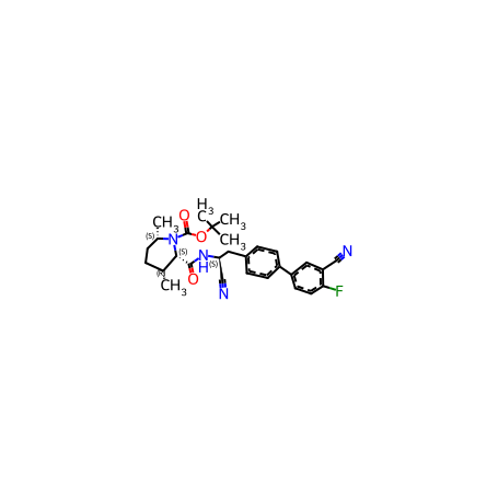 C[C@@H]1CC[C@H](C)N(C(=O)OC(C)(C)C)[C@@H]1C(=O)N[C@H](C#N)Cc1ccc(-c2ccc(F)c(C#N)c2)cc1